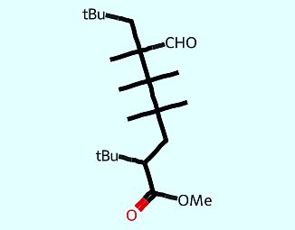 COC(=O)C(CC(C)(C)C(C)(C)C(C)(C=O)CC(C)(C)C)C(C)(C)C